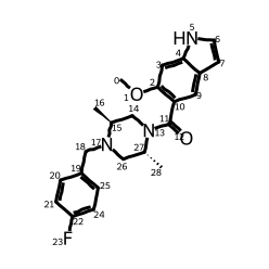 COc1cc2[nH]ccc2cc1C(=O)N1C[C@H](C)N(Cc2ccc(F)cc2)C[C@H]1C